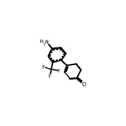 Nc1ccc(C2=CCC(=O)CC2)c(C(F)(F)F)c1